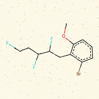 COc1cccc(Br)c1CC(F)C(F)CCF